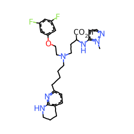 Cn1nccc1NC(CCN(CCCCc1ccc2c(n1)NCCC2)CCOc1cc(F)cc(F)c1)C(=O)O